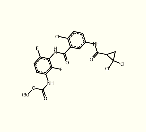 CC(C)(C)OC(=O)Nc1ccc(F)c(NC(=O)c2cc(NC(=O)C3CC3(Cl)Cl)ccc2Cl)c1F